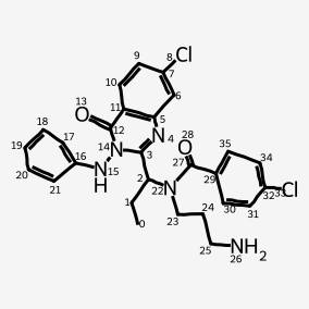 CCC(c1nc2cc(Cl)ccc2c(=O)n1Nc1ccccc1)N(CCCN)C(=O)c1ccc(Cl)cc1